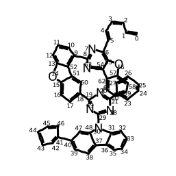 C=C/C=C\C=C\c1nc(-c2cccc3oc4ccc(-c5nc(-c6ccccc6)nc(-n6c7ccccc7c7ccc(-c8ccccc8)cc76)n5)cc4c23)nc2c1oc1ccccc12